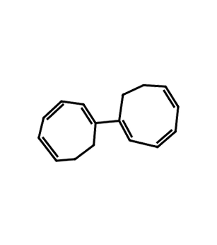 C1=CC=C(C2=CC=CC=CCC2)CCC=C1